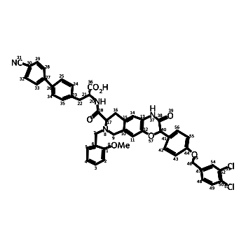 COc1ccccc1CN1Cc2cc3c(cc2CC1C(=O)N[C@@H](Cc1ccc(-c2ccc(C#N)cc2)cc1)C(=O)O)NC(=O)C(c1ccc(OCc2ccc(Cl)c(Cl)c2)cc1)O3